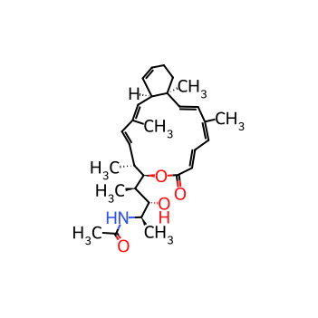 CC(=O)N[C@H](C)[C@@H](O)[C@@H](C)[C@@H]1OC(=O)/C=C/C=C(C)\C=C\[C@]2(C)CCC=C[C@@H]2/C=C(C)/C=C/[C@H]1C